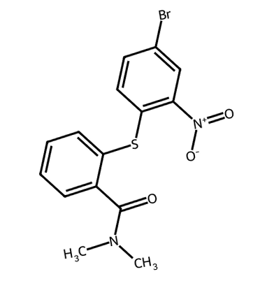 CN(C)C(=O)c1ccccc1Sc1ccc(Br)cc1[N+](=O)[O-]